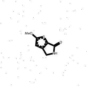 COc1cc2c(s1)C(=O)NC2